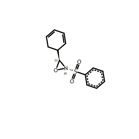 O=S(=O)(c1ccccc1)[N@]1O[C@H]1C1C=CC=CC1